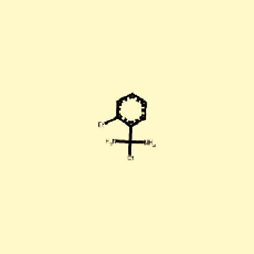 CCc1ccccc1C(N)(N)CC